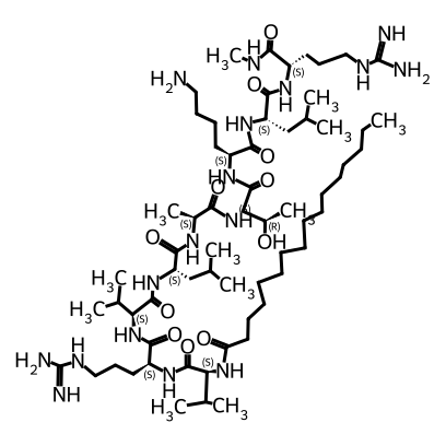 CCCCCCCCCCCCCCCC(=O)N[C@H](C(=O)N[C@@H](CCCNC(=N)N)C(=O)N[C@H](C(=O)N[C@@H](CC(C)C)C(=O)N[C@@H](C)C(=O)N[C@H](C(=O)N[C@@H](CCCCN)C(=O)N[C@@H](CC(C)C)C(=O)N[C@@H](CCCNC(=N)N)C(=O)NC)[C@@H](C)O)C(C)C)C(C)C